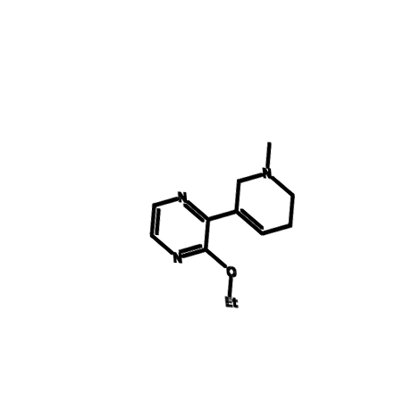 CCOc1nccnc1C1=CCCN(C)C1